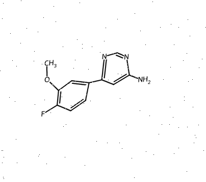 COc1cc(-c2cc(N)ncn2)ccc1F